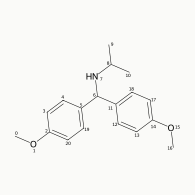 COc1ccc(C(NC(C)C)c2ccc(OC)cc2)cc1